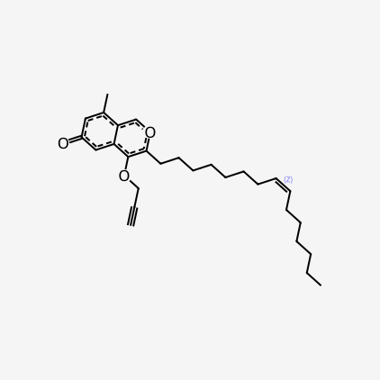 C#CCOc1c2cc(=O)cc(C)c-2coc1CCCCCCC/C=C\CCCCCC